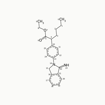 CCCCC(C(=O)OCC)c1ccc(N2Cc3ccccc3C2=N)cc1